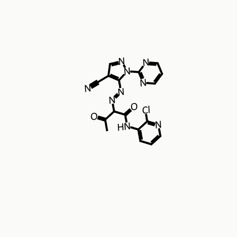 CC(=O)C(N=Nc1c(C#N)cnn1-c1ncccn1)C(=O)Nc1cccnc1Cl